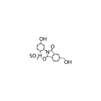 O=C1c2ccc(CO)cc2C(=O)N1c1cc(O)ccc1S(=O)(=O)O